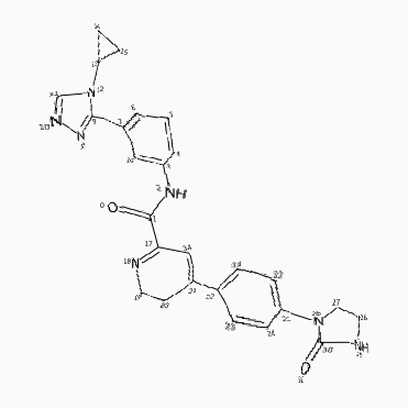 O=C(Nc1cccc(-c2nncn2C2CC2)c1)C1=NCCC(c2ccc(N3CCNC3=O)cc2)=C1